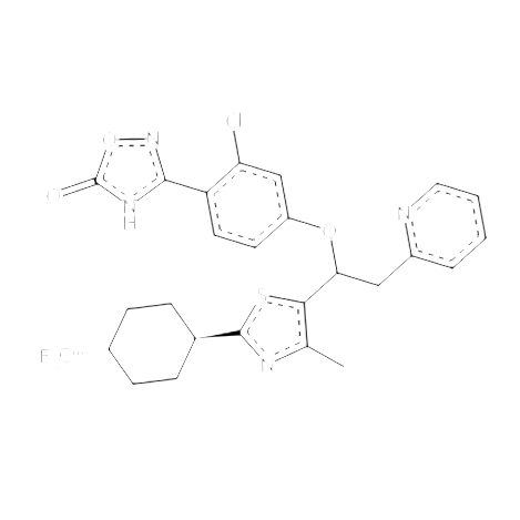 Cc1nc([C@H]2CC[C@H](C(F)(F)F)CC2)sc1C(Cc1ccccn1)Oc1ccc(-c2noc(=O)[nH]2)c(Cl)c1